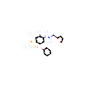 NS(=O)(=O)c1cc(S(=O)(=O)O)c(NNCc2ccco2)cc1Oc1ccccc1